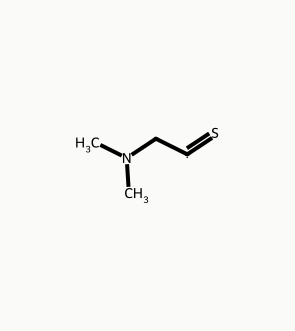 CN(C)C[C]=S